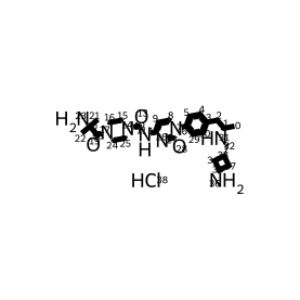 CC(Cc1ccc(-n2ccc(NC(=O)N3CCN(C(=O)C(C)(C)N)CC3)nc2=O)cc1)NC[C@H]1C[C@H](N)C1.Cl